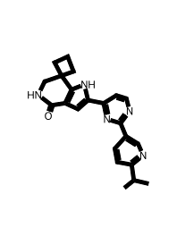 CC(C)c1ccc(-c2nccc(-c3cc4c([nH]3)C3(CCC3)CNC4=O)n2)cn1